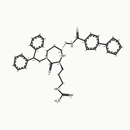 N=C(N)NCCC[C@@H]1N[C@@H](CNC(=O)c2ccc(-c3ccccc3)cc2)CCN(CC(c2ccccc2)c2ccccc2)C1=O